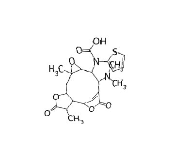 CC1C(=O)OC2CC3(C)OC3C(N(C(=O)O)c3cccs3)C(N(C)C)C3=CC(OC3=O)C21